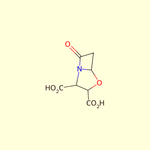 O=C(O)C1OC2CC(=O)N2C1C(=O)O